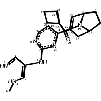 CN/C=C(\C=N)Nc1nccc(C2=CC3CCC(C2)N3C(=O)C23CC(C2)C3)n1